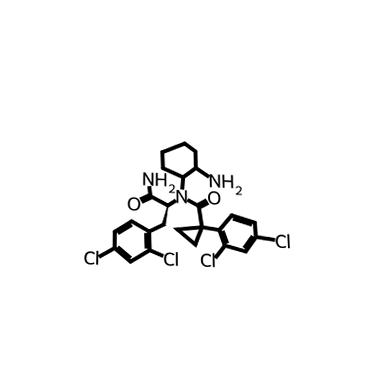 NC(=O)[C@H](Cc1ccc(Cl)cc1Cl)N(C(=O)C1(c2ccc(Cl)cc2Cl)CC1)C1CCCCC1N